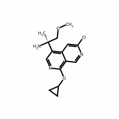 COC[C@](C)(N)c1cnc(OC2CC2)c2cnc(Cl)cc12